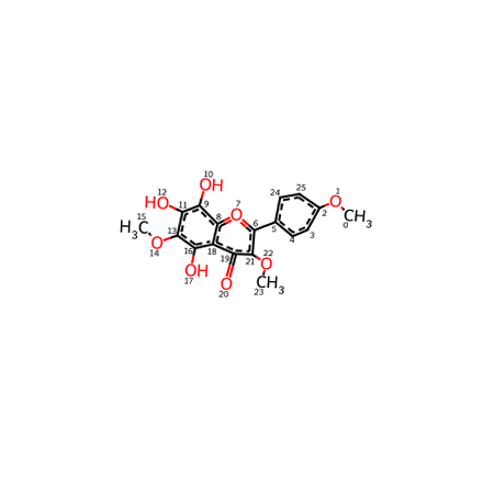 COc1ccc(-c2oc3c(O)c(O)c(OC)c(O)c3c(=O)c2OC)cc1